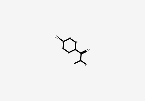 CC(C)C(=O)C1CCC(O)CC1